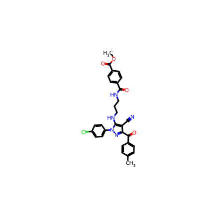 COC(=O)c1ccc(C(=O)NCCCNc2c(C#N)c(C(=O)c3ccc(C)cc3)nn2-c2ccc(Cl)cc2)cc1